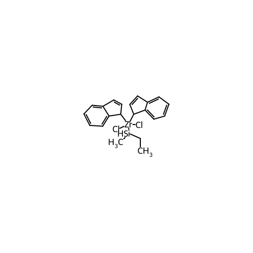 CC[SiH](C)[Zr]([Cl])([Cl])([CH]1C=Cc2ccccc21)[CH]1C=Cc2ccccc21